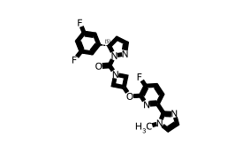 Cn1ccnc1-c1ccc(F)c(OC2CN(C(=O)N3N=CC[C@H]3c3cc(F)cc(F)c3)C2)n1